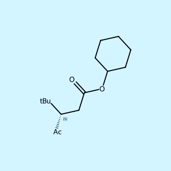 CC(=O)[C@@H](CC(=O)OC1CCCCC1)C(C)(C)C